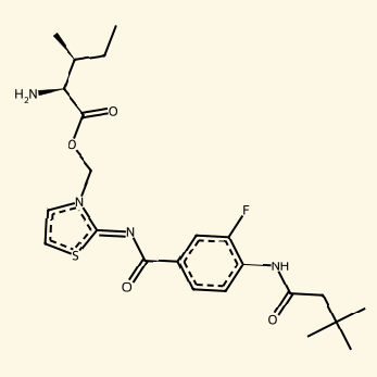 CC[C@H](C)[C@H](N)C(=O)OCn1ccsc1=NC(=O)c1ccc(NC(=O)CC(C)(C)C)c(F)c1